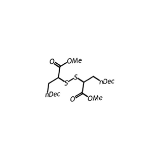 CCCCCCCCCCCC(SSC(CCCCCCCCCCC)C(=O)OC)C(=O)OC